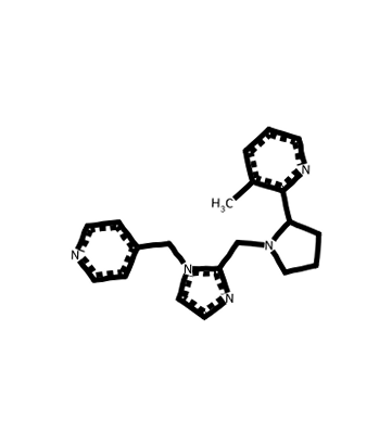 Cc1cccnc1C1CCCN1Cc1nccn1Cc1ccncc1